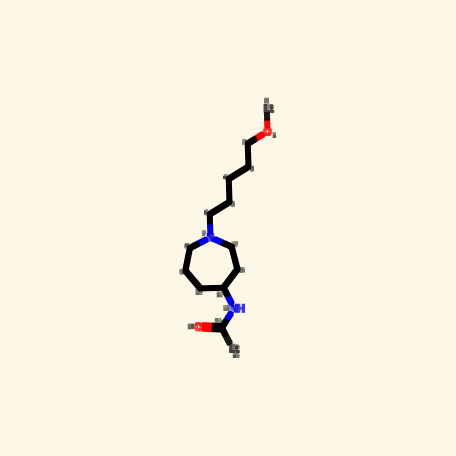 CCOCCCCCN1CCCC(NC(=O)CC)CC1